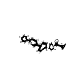 O=C(C1CC1)N1CCC(Oc2ccc(-c3ccc(-c4ccccc4)nc3)cc2)CC1